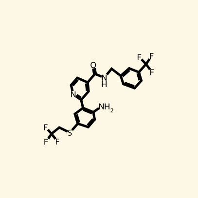 Nc1ccc(SCC(F)(F)F)cc1-c1cc(C(=O)NCc2cccc(C(F)(F)F)c2)ccn1